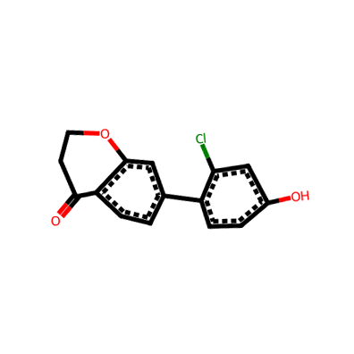 O=C1CCOc2cc(-c3ccc(O)cc3Cl)ccc21